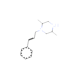 CC1CN(CC=Cc2ccccc2)C(C)CN1